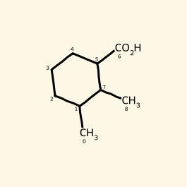 CC1CCCC(C(=O)O)C1C